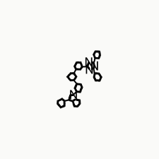 c1ccc(-c2nc(-c3ccccc3)nc(-c3cccc(-c4cccc(-c5cccc(-n6cc(-c7ccccc7)c7ccccc76)c5)c4)c3)n2)cc1